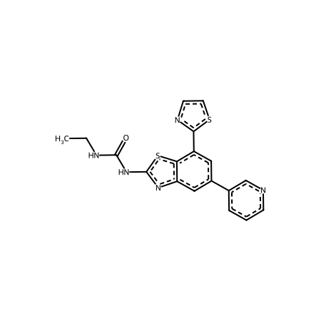 CCNC(=O)Nc1nc2cc(-c3cccnc3)cc(-c3nccs3)c2s1